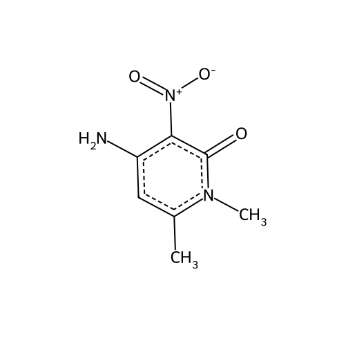 Cc1cc(N)c([N+](=O)[O-])c(=O)n1C